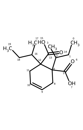 CCC(C)C1(C(=O)O)CC=CCC1(C(=O)O)C(C)CC